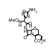 C=CC1=C(C(=O)O)N2C(=O)C(NC(=O)C(NOC)c3noc(N)n3)[C@H]2SC1